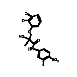 Cc1cc(NC(=O)C(C)(O)COc2cccc(Cl)c2Cl)ccc1[N+](=O)[O-]